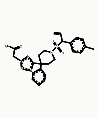 C=CC(c1ccc(C)cc1)S(=O)(=O)N1CCC(c2ccccc2)(c2nnn(CC(N)=O)n2)CC1